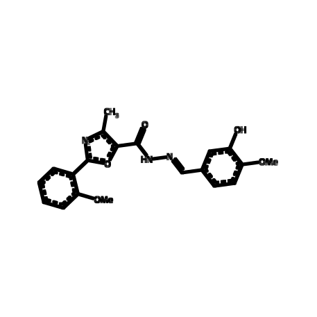 COc1ccc(C=NNC(=O)c2oc(-c3ccccc3OC)nc2C)cc1O